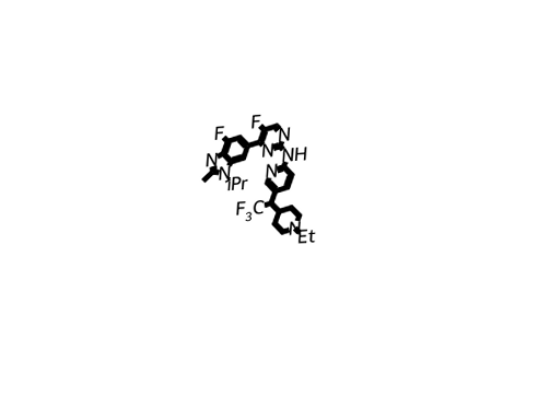 CCN1CCC(C(c2ccc(Nc3ncc(F)c(-c4cc(F)c5nc(C)n(C(C)C)c5c4)n3)nc2)C(F)(F)F)CC1